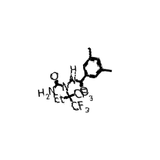 CCC(N(NC(=O)c1cc(C)cc(C)c1)C(N)=O)(C(F)(F)F)C(F)(F)F